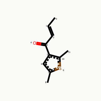 CC=CC(=O)c1cc(C)sc1C